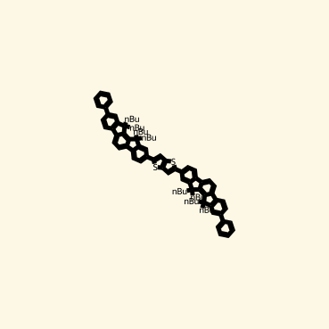 CCCCC1(CCCC)c2cc(-c3ccccc3)ccc2-c2ccc3c(c21)C(CCCC)(CCCC)c1cc(-c2cc4sc(-c5ccc6c(c5)C(CCCC)(CCCC)c5c-6ccc6c5C(CCCC)(CCCC)c5cc(-c7ccccc7)ccc5-6)cc4s2)ccc1-3